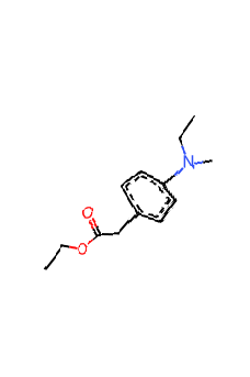 CCOC(=O)Cc1ccc(N(C)CC)cc1